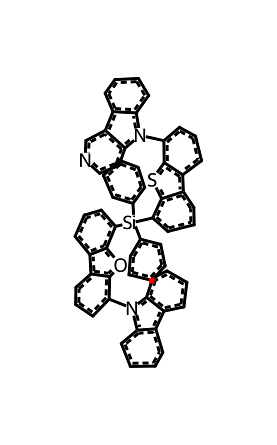 c1ccc([Si](c2ccccc2)(c2cccc3c2oc2c(-n4c5ccccc5c5ccccc54)cccc23)c2cccc3c2sc2c(-n4c5ccccc5c5cnccc54)cccc23)cc1